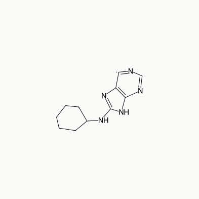 [c]1ncnc2[nH]c(NC3CCCCC3)nc12